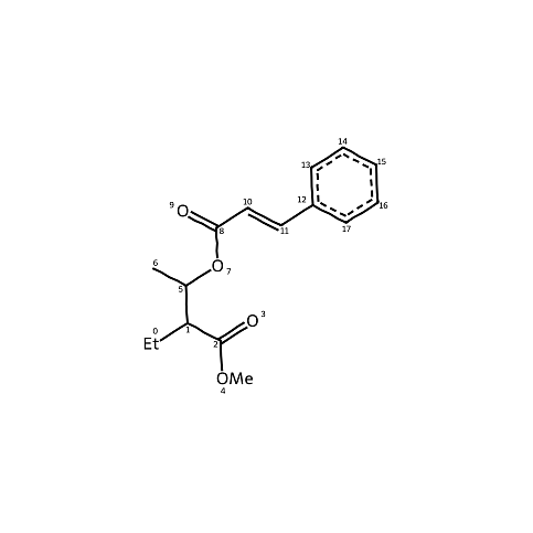 CCC(C(=O)OC)C(C)OC(=O)C=Cc1ccccc1